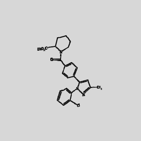 CCOC(=O)C1CCCCN1C(=O)c1ccc(-c2cc(C(F)(F)F)nn2-c2ccccc2Cl)cc1